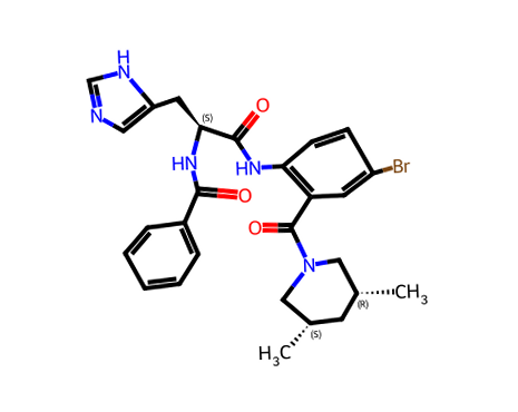 C[C@@H]1C[C@H](C)CN(C(=O)c2cc(Br)ccc2NC(=O)[C@H](Cc2cnc[nH]2)NC(=O)c2ccccc2)C1